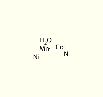 O.[Co].[Mn].[Ni].[Ni]